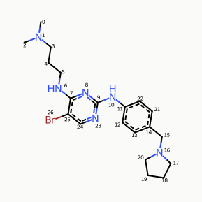 CN(C)CCCNc1nc(Nc2ccc(CN3CCCC3)cc2)ncc1Br